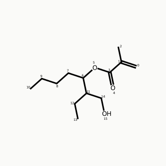 C=C(C)C(=O)OC(CCCC)C(CC)CO